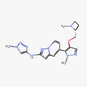 CN1CC[C@@H]1COc1cnn(C)c1-c1ccn2nc(Nc3cn(C)nn3)cc2c1